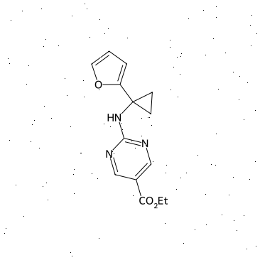 CCOC(=O)c1cnc(NC2(c3ccco3)CC2)nc1